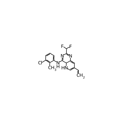 C=CC1=CNC2C(=C1)N=C(C(F)F)N=C2Nc1cccc(Cl)c1C